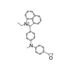 CC[N+]1=C(c2ccc(N(C)c3ccc(C4CO4)cc3)cc2)c2cccc3cccc1c23